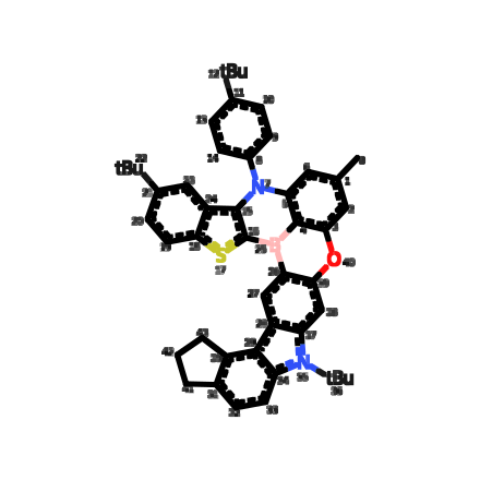 Cc1cc2c3c(c1)N(c1ccc(C(C)(C)C)cc1)c1c(sc4ccc(C(C)(C)C)cc14)B3c1cc3c4c5c(ccc4n(C(C)(C)C)c3cc1O2)CCC5